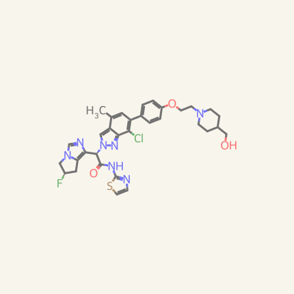 Cc1cc(-c2ccc(OCCN3CCC(CO)CC3)cc2)c(Cl)c2nn([C@@H](C(=O)Nc3nccs3)c3ncn4c3C[C@@H](F)C4)cc12